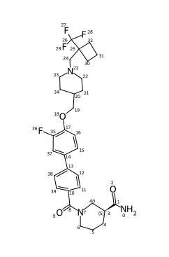 NC(=O)[C@H]1CCCN(C(=O)c2ccc(-c3ccc(OCC4CCN(CC5(C(F)(F)F)CCC5)CC4)c(F)c3)cc2)C1